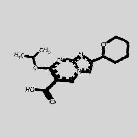 CC(C)Oc1nc2nc(C3CCCCO3)cn2cc1C(=O)O